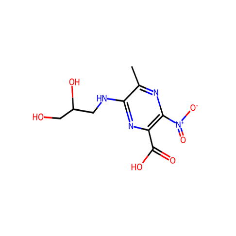 Cc1nc([N+](=O)[O-])c(C(=O)O)nc1NCC(O)CO